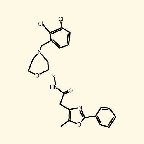 Cc1oc(-c2ccccc2)nc1CC(=O)NC[C@H]1CN(Cc2cccc(Cl)c2Cl)CCO1